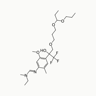 CCCOC(CC)OCCCOCC(O)(c1cc(C)c(/N=C/N(C)CC)cc1OC)C(F)(F)F